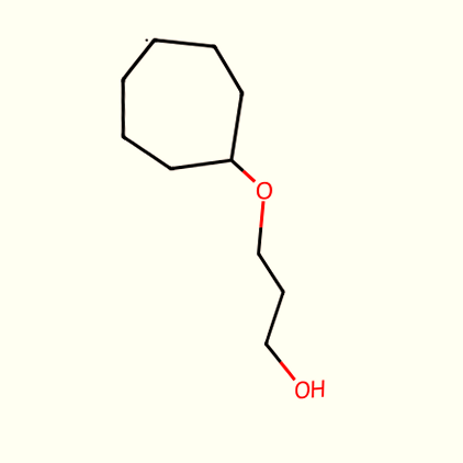 OCCCOC1CC[CH]CCC1